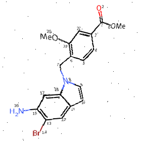 COC(=O)c1ccc(Cn2ccc3cc(Br)c(N)cc32)c(OC)c1